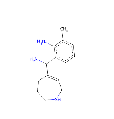 Cc1cccc(C(N)C2=CCNCCC2)c1N